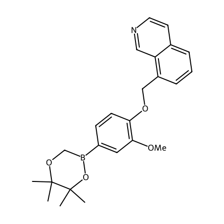 COc1cc(B2COC(C)(C)C(C)(C)O2)ccc1OCc1cccc2ccncc12